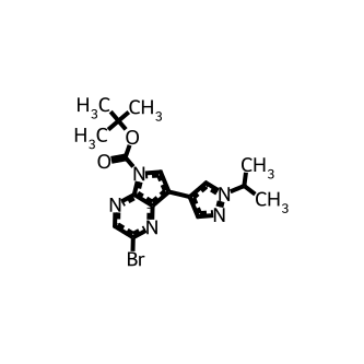 CC(C)n1cc(-c2cn(C(=O)OC(C)(C)C)c3ncc(Br)nc23)cn1